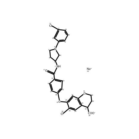 O=C(NC1CCN(c2cccc(Cl)c2)C1)c1ccc(Oc2cc3c(cc2Cl)C(C(=O)[O-])CCO3)cc1.[Na+]